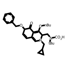 CCCCOC1=C2C(=O)C(OCc3ccccc3)C=CC2=CN(CC2CC2)C1CN(C(=O)O)C(C)(C)C